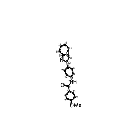 COc1ccc(C(=O)Nc2ccc(-c3cn4ccccc4n3)cc2)cc1